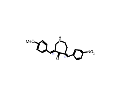 COc1ccc(/C=C2\CNCC/C(=C\c3ccc([N+](=O)[O-])cc3)C2=O)cc1